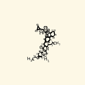 CCCCc1nc(CC)n(-c2ncc(OCC)cn2)c(=O)c1Cc1ccc(-c2ccccc2S(=O)(=O)NC(=O)C2CC2)cc1